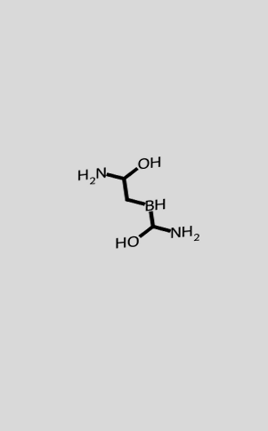 NC(O)BCC(N)O